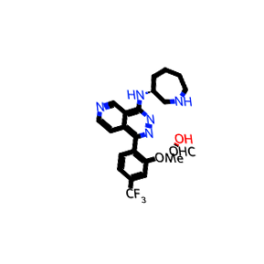 COc1cc(C(F)(F)F)ccc1-c1nnc(N[C@@H]2CCCCNC2)c2cnccc12.O=CO